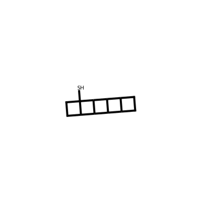 SC12CCC1C1C3C4CCC4C3C12